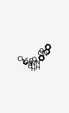 O=C(Nc1ccc(-n2ccc3ccccc3c2=O)c(Cl)c1)NS(=O)(=O)c1ccc(Cl)s1